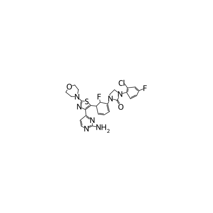 Nc1nccc(-c2nc(N3CCOCC3)sc2C2C=CC=C(N3CCN(c4ccc(F)cc4Cl)C3=O)C2F)n1